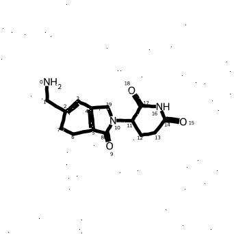 NCC1=CC2=C(CC1)C(=O)N(C1CCC(=O)NC1=O)C2